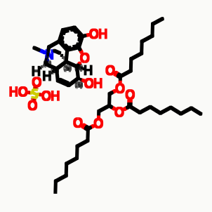 CCCCCCCC(=O)OCC(COC(=O)CCCCCCC)OC(=O)CCCCCCC.CN1CC[C@]23c4c5ccc(O)c4O[C@H]2[C@@H](O)C=C[C@H]3[C@H]1C5.O=S(=O)(O)O